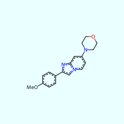 COc1ccc(-c2cn3ccc(N4CCOCC4)cc3n2)cc1